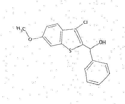 COc1ccc2c(Cl)c(C(O)c3ccccc3)sc2c1